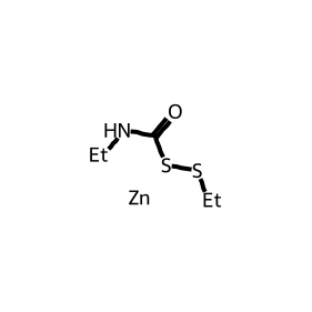 CCNC(=O)SSCC.[Zn]